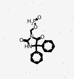 O=[PH2]OCN1C(=O)NC(c2ccccc2)(c2ccccc2)C1=O